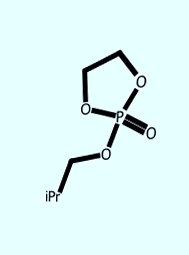 CC(C)COP1(=O)OCCO1